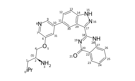 CC(C)C[C@H](N)COc1cncc(-c2ccc3[nH]nc(-c4nc(=O)c5ccccc5[nH]4)c3c2)c1